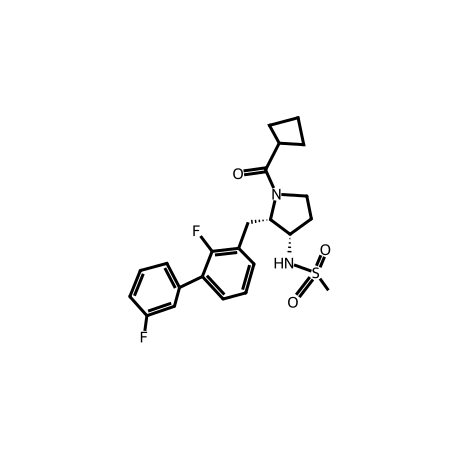 CS(=O)(=O)N[C@H]1CCN(C(=O)C2CCC2)[C@H]1Cc1cccc(-c2cccc(F)c2)c1F